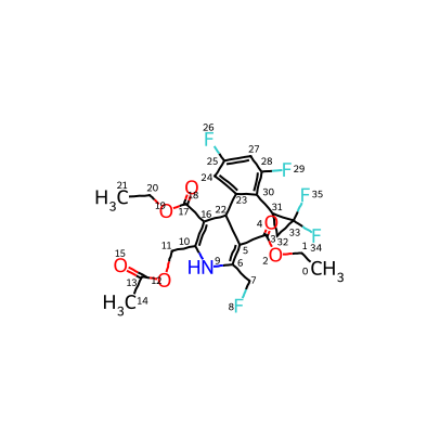 CCOC(=O)C1=C(CF)NC(COC(C)=O)=C(C(=O)OCC)C1c1cc(F)cc(F)c1C1CC1(F)F